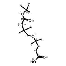 CC(C)(COC(C)(C)CCC(=O)O)NC(=O)OC(C)(C)C